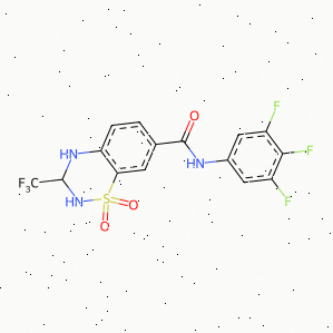 O=C(Nc1cc(F)c(F)c(F)c1)c1ccc2c(c1)S(=O)(=O)NC(C(F)(F)F)N2